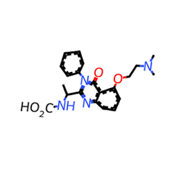 CC(NC(=O)O)c1nc2cccc(OCCN(C)C)c2c(=O)n1-c1ccccc1